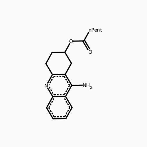 CCCCCC(=O)OC1CCc2nc3ccccc3c(N)c2C1